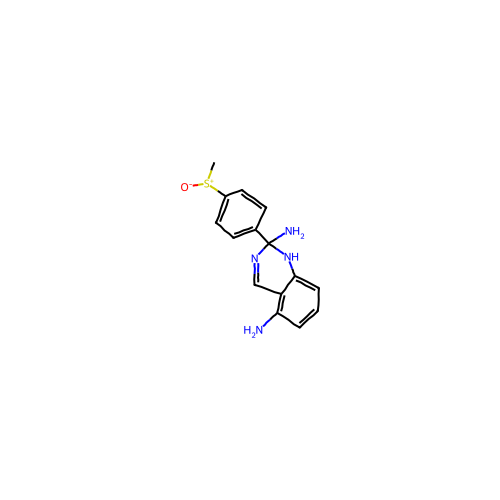 C[S+]([O-])c1ccc(C2(N)N=Cc3c(N)cccc3N2)cc1